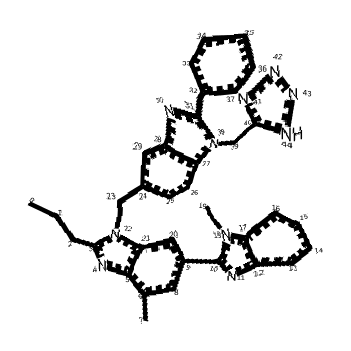 CCCc1nc2c(C)cc(-c3nc4ccccc4n3C)cc2n1Cc1ccc2c(c1)nc(-c1ccccc1)n2Cc1nnn[nH]1